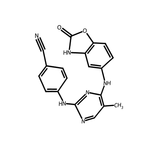 Cc1cnc(Nc2ccc(C#N)cc2)nc1Nc1ccc2oc(=O)[nH]c2c1